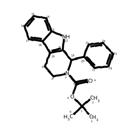 CC(C)(C)OC(=O)N1CCc2c([nH]c3ccccc23)C1c1ccccc1